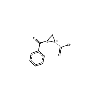 O=C(O)[C@H]1C[C@@H]1C(=O)c1ccccc1